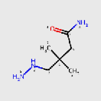 CC(C)(CNN)CC(N)=O